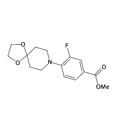 COC(=O)c1ccc(N2CCC3(CC2)OCCO3)c(F)c1